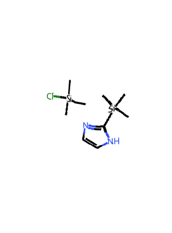 C[Si](C)(C)Cl.C[Si](C)(C)c1ncc[nH]1